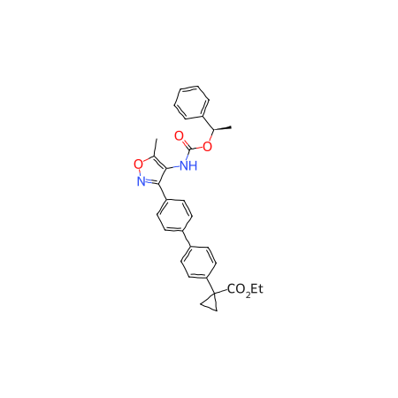 CCOC(=O)C1(c2ccc(-c3ccc(-c4noc(C)c4NC(=O)O[C@H](C)c4ccccc4)cc3)cc2)CC1